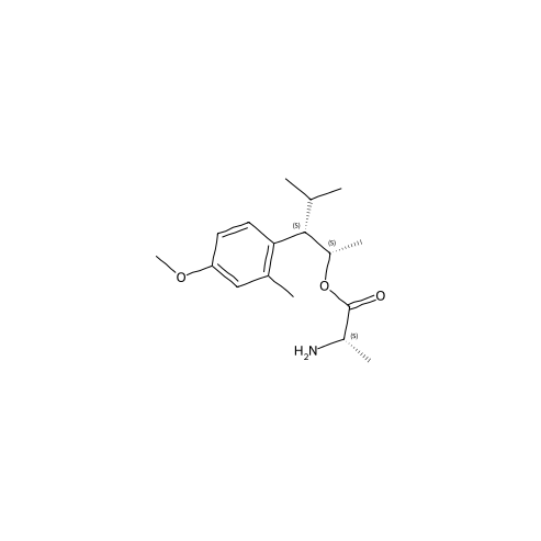 COc1ccc([C@H](C(C)C)[C@H](C)OC(=O)[C@H](C)N)c(C)c1